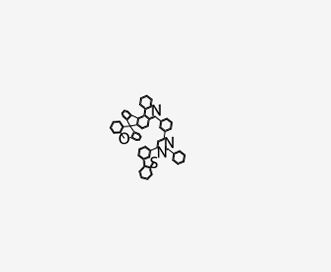 c1ccc(-c2nc(-c3cccc(-c4nc5ccccc5c5c6c(ccc45)C4(c5ccccc5Oc5ccccc54)c4ccccc4-6)c3)cc(-c3cccc4c3sc3ccccc34)n2)cc1